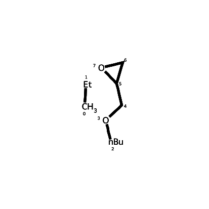 CCC.CCCCOCC1CO1